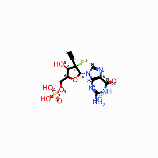 C#C[C@@]1(F)[C@H](O)C(COP(=O)(O)O)O[C@H]1n1cnc2c(=O)[nH]c(N)nc21